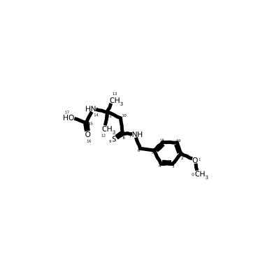 COc1ccc(CNC(=S)CC(C)(C)NC(=O)O)cc1